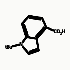 CC(C)(C)n1ccc2c(C(=O)O)cccc21